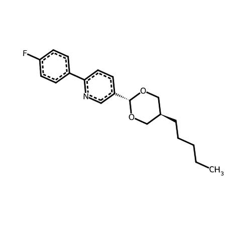 CCCCC[C@H]1CO[C@H](c2ccc(-c3ccc(F)cc3)nc2)OC1